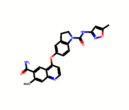 COc1cc2nccc(Oc3ccc4c(c3)CCN4C(=O)Nc3cc(C)on3)c2cc1C(N)=O